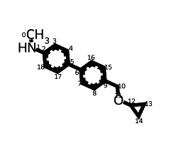 CNc1ccc(-c2ccc(COC3CC3)cc2)cc1